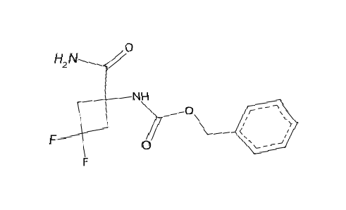 NC(=O)C1(NC(=O)OCc2ccccc2)CC(F)(F)C1